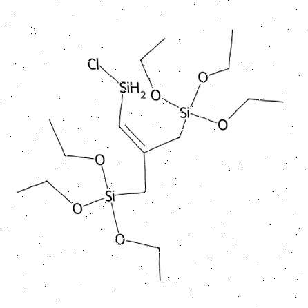 CCO[Si](CC(=C[SiH2]Cl)C[Si](OCC)(OCC)OCC)(OCC)OCC